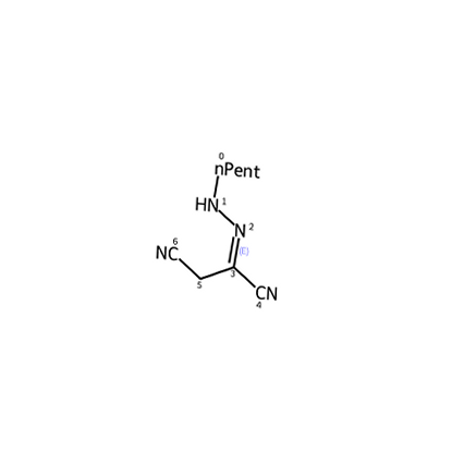 CCCCCN/N=C(/C#N)CC#N